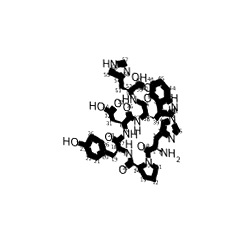 N[C@@H](Cc1c[nH]cn1)C(=O)N1CCC[C@H]1C(=O)N[C@@H](Cc1ccc(O)cc1)C(=O)N[C@@H](CC(=O)O)C(=O)N[C@@H](Cc1c[nH]c2ccccc12)C(=O)N[C@@H](Cc1c[nH]cn1)C(=O)O